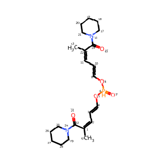 C/C(=C/C=C/O[PH](=O)O/C=C/C=C(/C)C(=O)N1CCCCC1)C(=O)N1CCCCC1